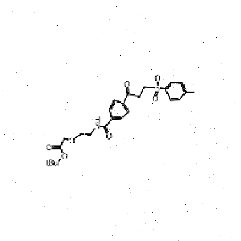 Cc1ccc(S(=O)(=O)CCC(=O)c2ccc(C(=O)NCCOCC(=O)OC(C)(C)C)cc2)cc1